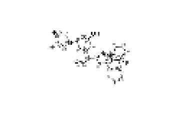 CC(F)(F)c1ccccc1-c1cc(N(C=O)[C@@H](CCN2C[C@H](F)[C@@H](F)C2)CC(=O)O)nn1C1CCCC1